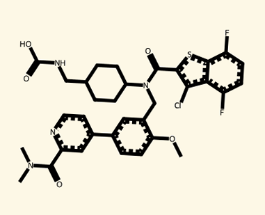 COc1ccc(-c2ccnc(C(=O)N(C)C)c2)cc1CN(C(=O)c1sc2c(F)ccc(F)c2c1Cl)C1CCC(CNC(=O)O)CC1